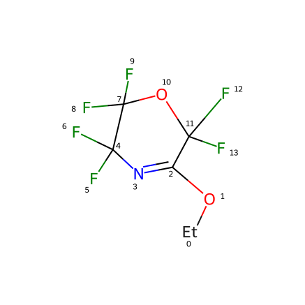 CCOC1=NC(F)(F)C(F)(F)OC1(F)F